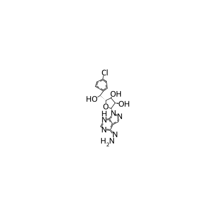 NN=c1nc[nH]c2c1cnn2[C@@H]1O[C@H](C(O)c2ccc(Cl)cc2)[C@@H](O)[C@H]1O